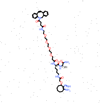 CC(C)[C@H](NC(=O)[C@@H](CCCCNC(=O)COC1CCCCC/C(N)=C\1N=N)NC(=O)CCOCCOCCOCCOCCNC(=O)CCC(=O)N1Cc2ccccc2C#Cc2ccccc21)C(N)=O